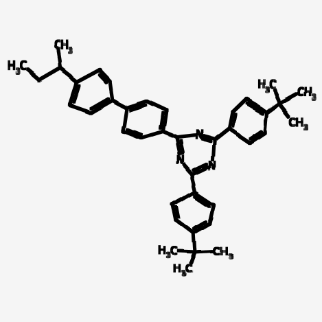 CCC(C)c1ccc(-c2ccc(-c3nc(-c4ccc(C(C)(C)C)cc4)nc(-c4ccc(C(C)(C)C)cc4)n3)cc2)cc1